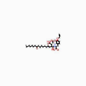 C#CCOc1ccc(C[C@H](NC(=O)[C@@H](/C=C/CCCCCCC(=O)CCCCCCC)[C@@H](CC(=O)O)C(=O)O)C(=O)O)cc1